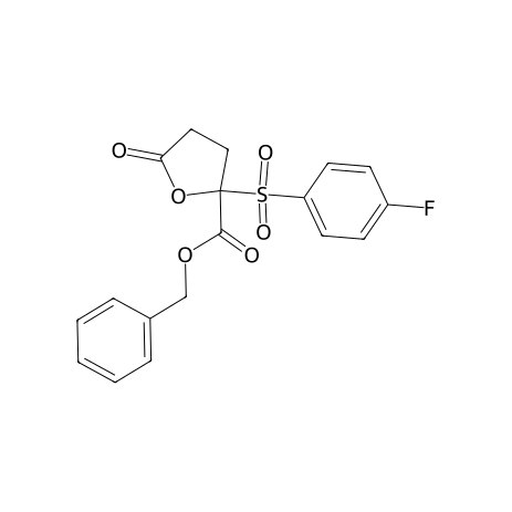 O=C1CCC(C(=O)OCc2ccccc2)(S(=O)(=O)c2ccc(F)cc2)O1